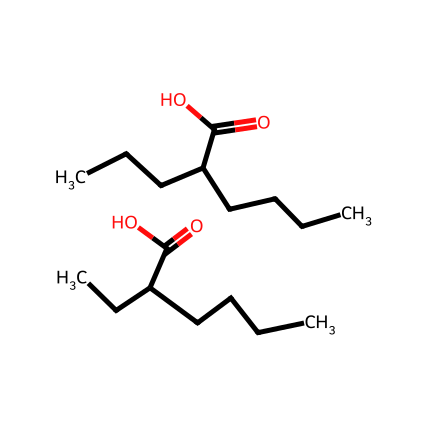 CCCCC(CC)C(=O)O.CCCCC(CCC)C(=O)O